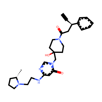 C#C[C@H](CC(=O)N1CCC(O)(Cn2cnc(NCCN3CCC[C@@H]3C)cc2=O)CC1)c1ccccc1